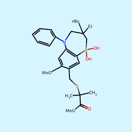 CCCCC1(CC)CN(c2ccccc2)c2cc(OC)c(CSC(C)(C)C(=O)OC)cc2S(O)(O)C1